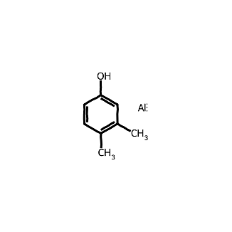 Cc1ccc(O)cc1C.[Al]